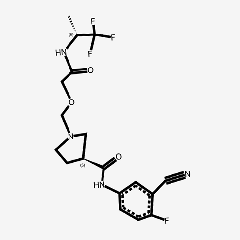 C[C@@H](NC(=O)COCN1CC[C@H](C(=O)Nc2ccc(F)c(C#N)c2)C1)C(F)(F)F